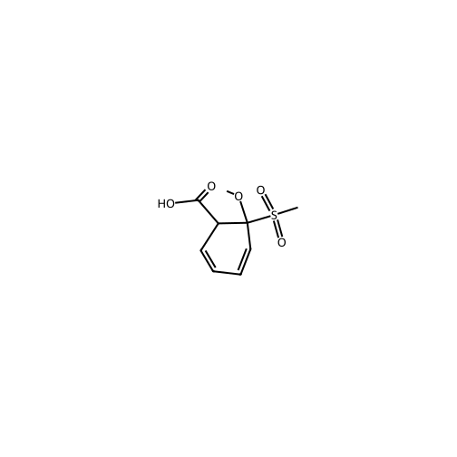 COC1(S(C)(=O)=O)C=CC=CC1C(=O)O